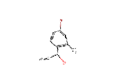 COC([O])c1ccc(Br)cc1C(F)(F)F